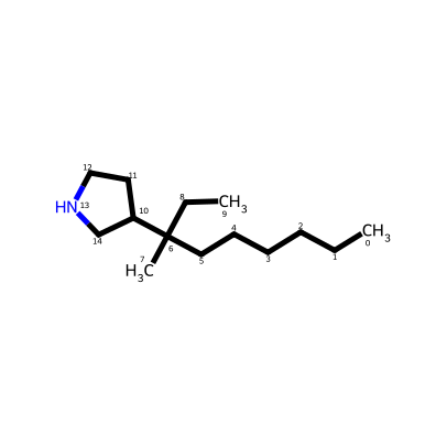 CCCCCCC(C)(CC)C1CCNC1